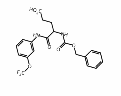 O=C(O)CCC(NC(=O)OCc1ccccc1)C(=O)Nc1cccc(OC(F)(F)F)c1